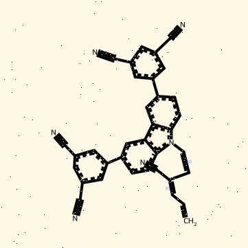 C=C/C=C(C#N)\C=C/n1c2ccc(-c3cc(C#N)cc(C#N)c3)cc2c2cc(-c3cc(C#N)cc(C#N)c3)ccc21